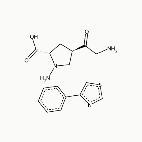 NCC(=O)[C@@H]1C[C@@H](C(=O)O)N(N)C1.c1ccc(-c2cscn2)cc1